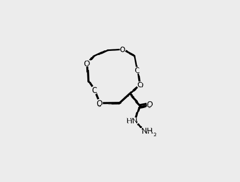 NNC(=O)C1COCCOCCOCCO1